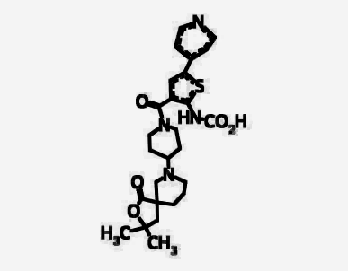 CC1(C)CC2(CCCN(C3CCN(C(=O)c4cc(-c5ccncc5)sc4NC(=O)O)CC3)C2)C(=O)O1